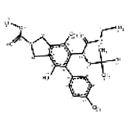 CCOC(=O)[C@@H](OC(C)(C)C)c1c(C)c2c(c(C)c1-c1ccc(C)cc1)CN(C(=O)OC)C2